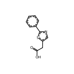 O=C(O)Cc1cnc(-c2ccccc2)s1